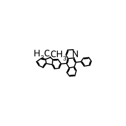 CC1(C)c2ccccc2-c2ccc(-c3c4ccccc4c(-c4ccccc4)c4ncccc34)cc21